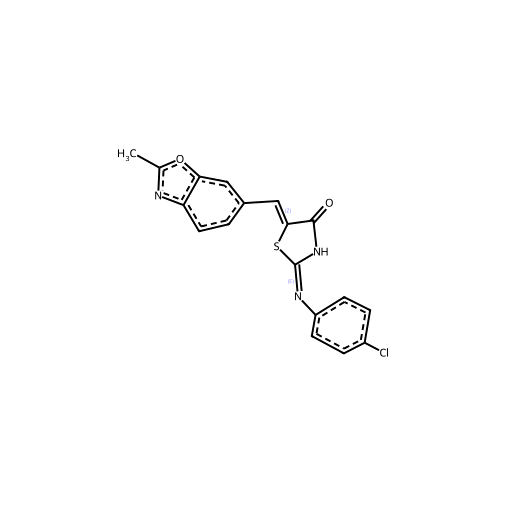 Cc1nc2ccc(/C=C3\S/C(=N/c4ccc(Cl)cc4)NC3=O)cc2o1